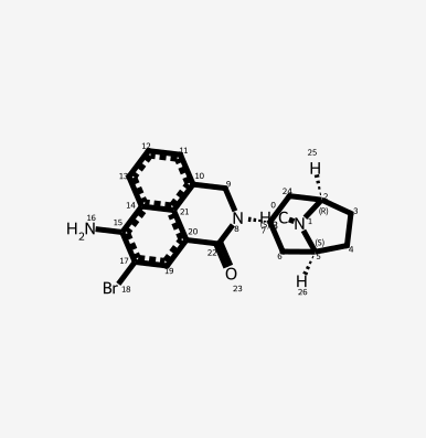 CN1[C@@H]2CC[C@H]1C[C@H](N1Cc3cccc4c(N)c(Br)cc(c34)C1=O)C2